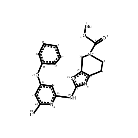 CC(C)(C)OC(=O)N1CCc2nc(Nc3cc(Oc4ccccc4)cc(Cl)n3)sc2C1